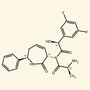 C[C@H](N)C(=O)N(C(=O)[C@@H](O)c1cc(F)cc(F)c1)[C@H]1C=CC[C@H](c2ccccc2)NC1=O